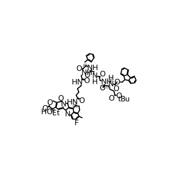 CC[C@@]1(O)C(=O)OCc2c1cc1n(c2=O)Cc2c-1nc1cc(F)c(C)c3c1c2[C@@H](NC(=O)CCCCNC(=O)CNC(=O)[C@H](Cc1ccccc1)NC(=O)CNC(=O)CNC(=O)[C@H](CCC(=O)OC(C)(C)C)NC(=O)OCC1c2ccccc2-c2ccccc21)CC3